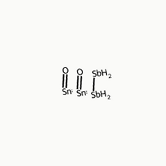 [O]=[Sn].[O]=[Sn].[SbH2][SbH2]